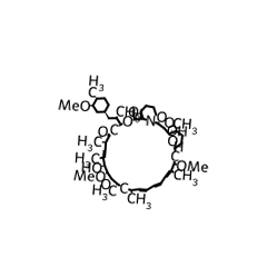 COC1C[C@@H]2CC[C@@H](C)[C@@](O)(O2)C(=O)C(=O)N2CCCC[C@H]2C(=O)O[C@H]([C@H](C)C[C@@H]2CC[C@H](C)[C@H](OC)C2)CC(=O)[C@H](C)/C=C(\C)[C@@H](O)[C@@H](OC)C(=O)[C@H](C)C[C@H](C)/C=C/C=C/C=C/1C